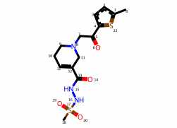 Cc1ccc(C(=O)CN2CCC=C(C(=O)NNS(C)(=O)=O)C2)s1